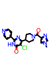 Cn1cnc(C(=O)N2CCC(c3nc(-c4ccncc4)[nH]c(=O)c3Cl)CC2)c1